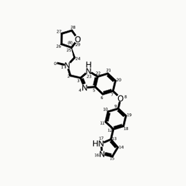 CN(Cc1nc2cc(Oc3ccc(-c4ccn[nH]4)cc3)ccc2[nH]1)C[C@H]1CCCO1